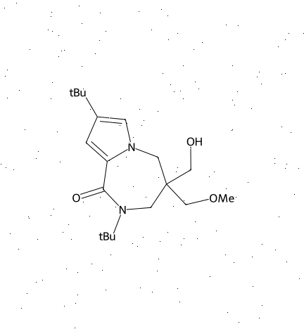 COCC1(CO)CN(C(C)(C)C)C(=O)c2cc(C(C)(C)C)cn2C1